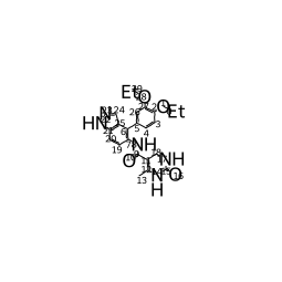 CCOc1ccc(-c2c(NC(=O)C3=C(C)NC(=O)NC3)ccc3[nH]ncc23)cc1OCC